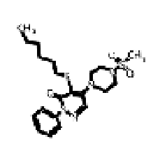 CCCCCCSc1c(N2CCN(S(C)(=O)=O)CC2)cnn(-c2ccccc2)c1=O